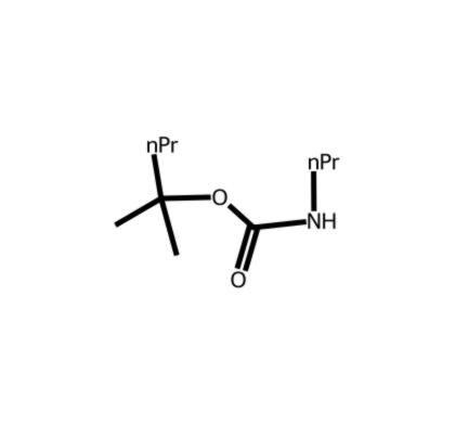 CCCNC(=O)OC(C)(C)CCC